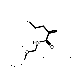 C=C(CCC)C(=O)NCOC